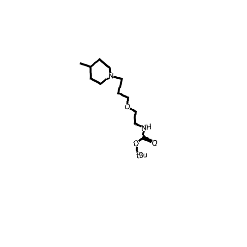 CC1CCN(CCCOCCNC(=O)OC(C)(C)C)CC1